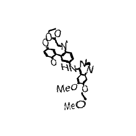 COCCOc1cc2ncnc(Nc3ccc(N(C)CC4OCCO4)c(C4=CC(=O)C=CC4=O)c3)c2cc1OC